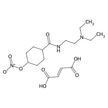 CCN(CC)CCNC(=O)C1CCC(O[N+](=O)[O-])CC1.O=C(O)C=CC(=O)O